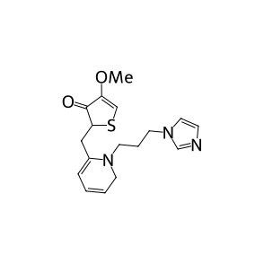 COC1=CSC(CC2=CC=CCN2CCCn2ccnc2)C1=O